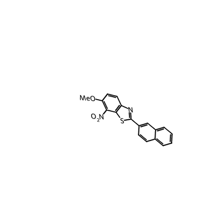 COc1ccc2nc(-c3ccc4ccccc4c3)sc2c1[N+](=O)[O-]